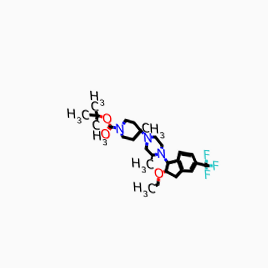 CCOC1Cc2cc(C(F)(F)F)ccc2C1N1CCN(C2(C)CCN(C(=O)OC(C)(C)C)CC2)C[C@@H]1C